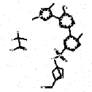 Cc1ccc(S(=O)(=O)NC23COC(CO)(C2)C3)cc1-c1cnc(N)c(-c2cn(C)nc2C)n1.O=C(O)C(F)(F)F